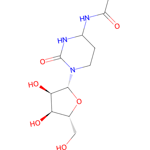 CC(=O)NC1CCN([C@@H]2O[C@H](CO)[C@@H](O)[C@H]2O)C(=O)N1